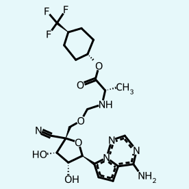 C[C@H](NCOC[C@@]1(C#N)O[C@@H](c2ccc3c(N)ncnn23)[C@H](O)[C@@H]1O)C(=O)O[C@H]1CC[C@H](C(F)(F)F)CC1